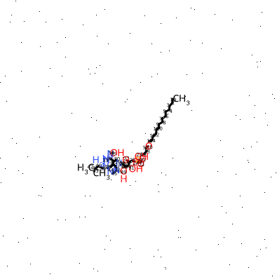 CCCCCCCCCCCCCCCCOCCCOP(=O)(O)OCC1O[C@@H](n2cc(/C(N)=N\O)c3c(NCCC(C)C)ncnc32)[C@H](O)C1O